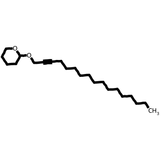 CCCCCCCCCCCCCCC#CCOC1CCCCO1